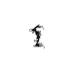 C=C[C@@H](CCNCc1ccc(-n2cc3cc(-c4cc(CCC[C@H](C)N)cc(Cl)c4F)[nH]c3nc2=O)cc1)NC(=N)N